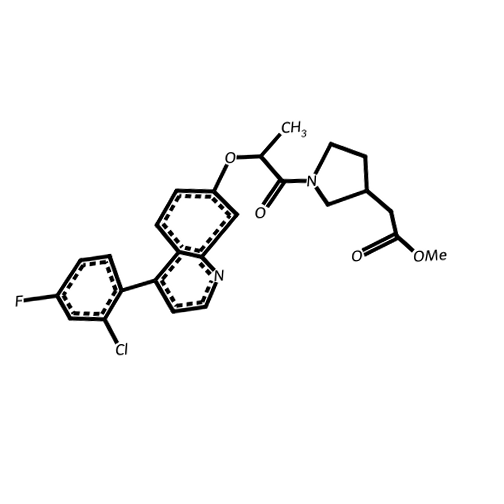 COC(=O)CC1CCN(C(=O)C(C)Oc2ccc3c(-c4ccc(F)cc4Cl)ccnc3c2)C1